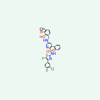 COc1cccc(CNc2cnc(S(=O)(=O)Nc3nc(-c4ccc(F)c(Cl)c4)c(F)s3)c(-c3ccccc3)c2)c1O